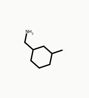 [CH2]C1CCCC(CN)C1